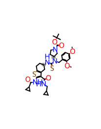 COc1ccc(CN(C(=S)N[C@H]2CCc3sc(NC(=O)C4CC4)c(C(=O)NCC4CC4)c3C2)[C@@H]2CCN(C(=O)OC(C)(C)C)C2)c(OC)c1